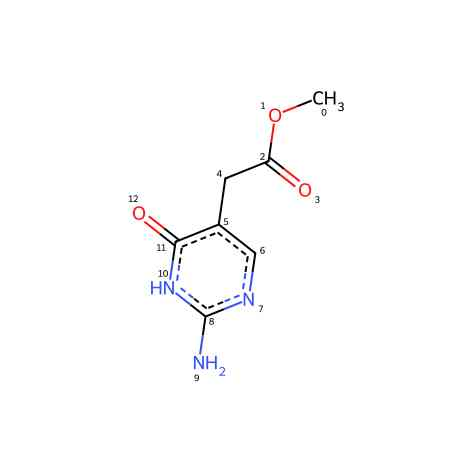 COC(=O)Cc1cnc(N)[nH]c1=O